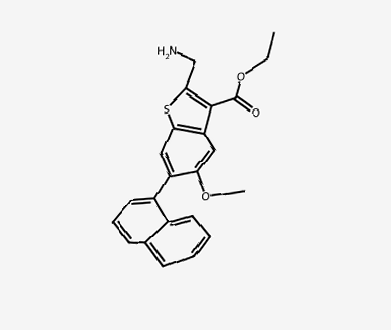 CCOC(=O)c1c(CN)sc2cc(-c3cccc4ccccc34)c(OC)cc12